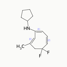 C\C1=C/C(NC2CCCC2)=C\C=C/C(F)(F)C1